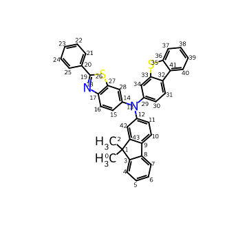 CC1(C)c2ccccc2-c2ccc(N(c3ccc4nc(-c5ccccc5)sc4c3)c3ccc4c(c3)sc3ccccc34)cc21